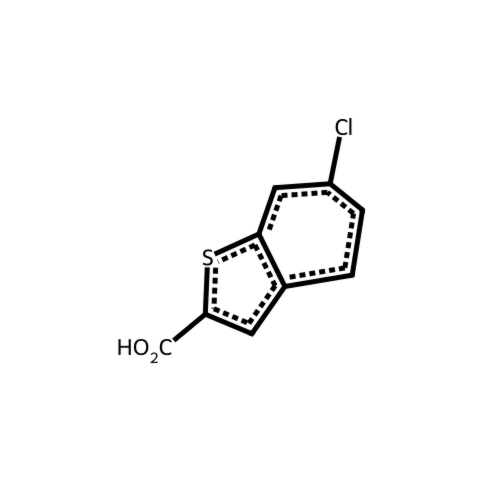 O=C(O)c1cc2ccc(Cl)cc2s1